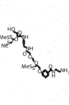 CSSC(COc1cccc(C(=O)NCCN)c1)OCCOCC(=O)NCC#CBC1OC(CO)C1O[C@@H](CSC#N)SSC